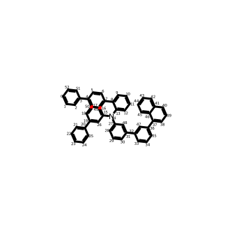 c1ccc(-c2ccc(-c3ccccc3N(c3cccc(-c4ccccc4)c3)c3cccc(-c4cccc(-c5cccc6ccccc56)c4)c3)cc2)cc1